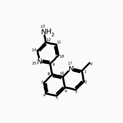 Cc1ccc2cccc(-c3ccc(N)cn3)c2n1